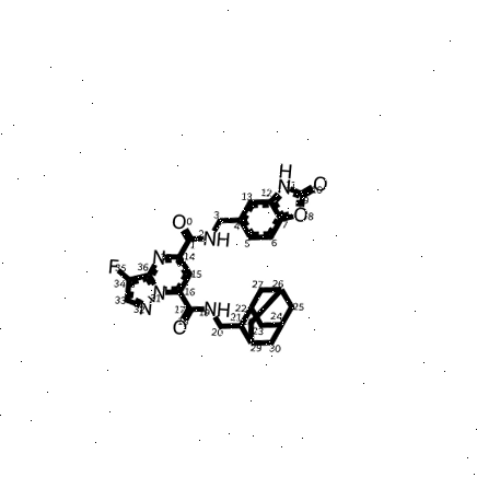 O=C(NCc1ccc2oc(=O)[nH]c2c1)c1cc(C(=O)NCC2C3CC4CC(C3)CC2C4)n2ncc(F)c2n1